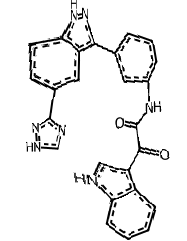 O=C(Nc1cccc(-c2n[nH]c3ccc(-c4nc[nH]n4)cc23)c1)C(=O)c1c[nH]c2ccccc12